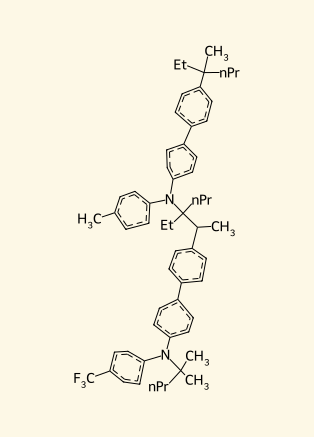 CCCC(C)(CC)c1ccc(-c2ccc(N(c3ccc(C)cc3)C(CC)(CCC)C(C)c3ccc(-c4ccc(N(c5ccc(C(F)(F)F)cc5)C(C)(C)CCC)cc4)cc3)cc2)cc1